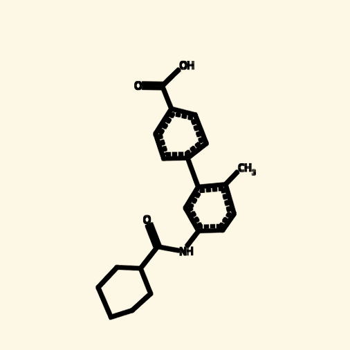 Cc1ccc(NC(=O)C2CCCCC2)cc1-c1ccc(C(=O)O)cc1